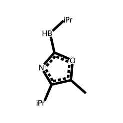 Cc1oc(BC(C)C)nc1C(C)C